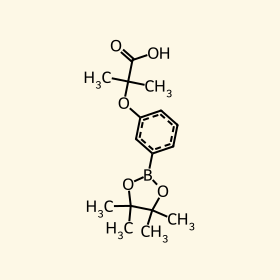 CC(C)(Oc1cccc(B2OC(C)(C)C(C)(C)O2)c1)C(=O)O